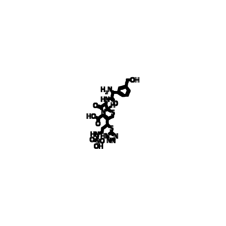 NC(C(=O)NC1C(=O)N2C(C(=O)O)=C(C(CCNS(=O)(=O)O)Sc3nnn[nH]3)CS[C@@H]12)c1cccc(CO)c1